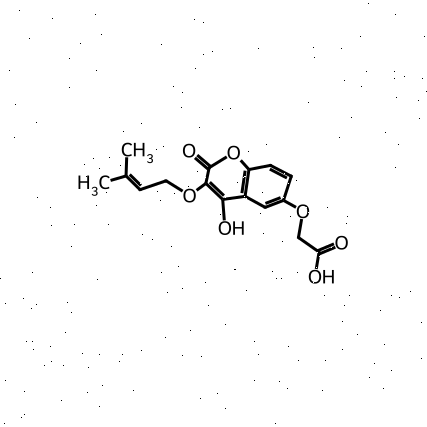 CC(C)=CCOc1c(O)c2cc(OCC(=O)O)ccc2oc1=O